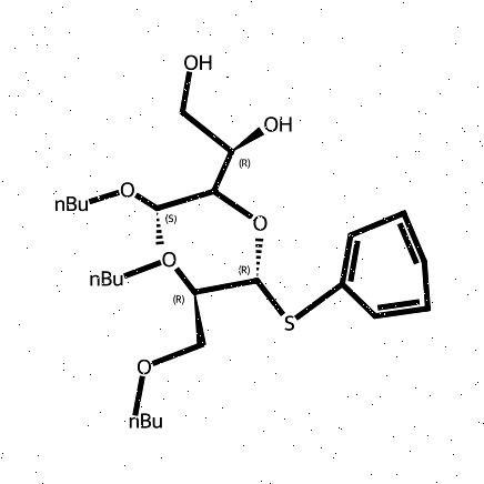 CCCCOC[C@@H](OCCCC)[C@H](OC([C@H](O)CO)[C@H](C)OCCCC)Sc1ccccc1